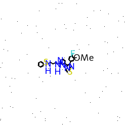 COc1cc(-c2nc3sccn3c2-c2ccnc(NCCCNSc3ccccc3)n2)ccc1F